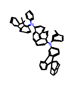 Cc1cccc(N(c2ccc3c(c2)-c2ccccc2C32C3CC4CC(C3)CC2C4)c2ccc3ccc4c(N(c5ccccc5)c5cccc6c5C(C)(C)c5ccccc5-6)ccc5ccc2c3c54)c1